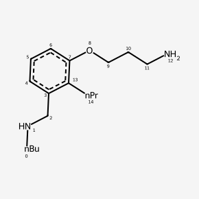 CCCCNCc1cccc(OCCCN)c1CCC